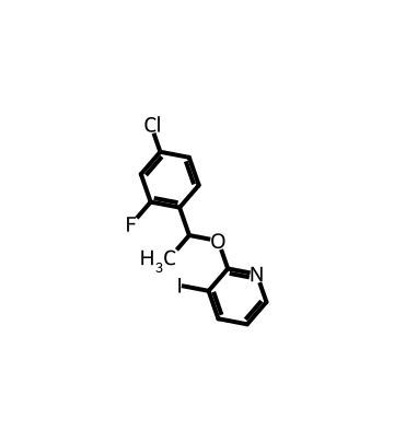 CC(Oc1ncccc1I)c1ccc(Cl)cc1F